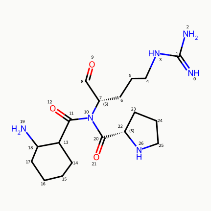 N=C(N)NCCC[C@@H](C=O)N(C(=O)C1CCCCC1N)C(=O)[C@@H]1CCCN1